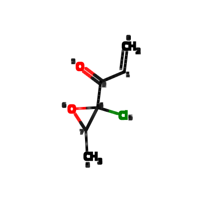 C=CC(=O)C1(Cl)OC1C